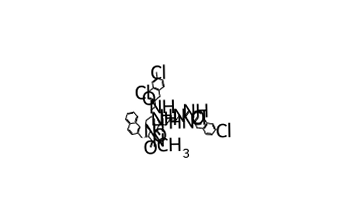 CNC(=O)[C@H](Cc1ccc2ccccc2c1)N1CC[C@H](CNC(=O)Cc2ccc(Cl)cc2Cl)N[C@@H](CCCNC(=N)NC(=O)Cc2ccc(Cl)cc2Cl)C1=O